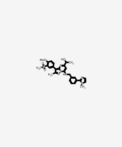 COc1ccc(-c2c(C)nn3c(NCc4cccc(-c5nccn5C)c4)cc(C(C)O)nc23)cc1S(C)(=O)=O